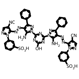 [C-]#[N+]c1cnn(-c2cccc(S(=O)(=O)O)c2)c1N=Nc1c(-c2ccccc2)nn(-c2nc(O)nc(-n3nc(-c4ccccc4)c(N=Nc4c(C#N)cnn4-c4cccc(S(=O)(=O)O)c4)c3N)n2)c1N